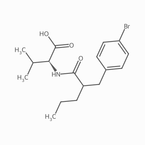 CCCC(Cc1ccc(Br)cc1)C(=O)N[C@H](C(=O)O)C(C)C